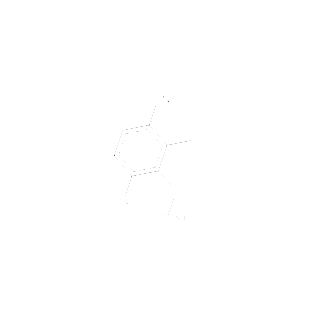 CCCCOc1c(Br)ccc(C#N)c1CC